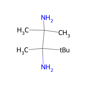 CC(C)(C)C(C)(N)C(C)(C)N